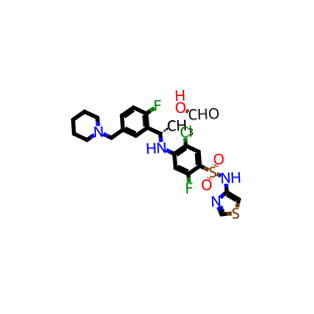 C[C@H](Nc1cc(F)c(S(=O)(=O)Nc2cscn2)cc1Cl)c1cc(CN2CCCCC2)ccc1F.O=CO